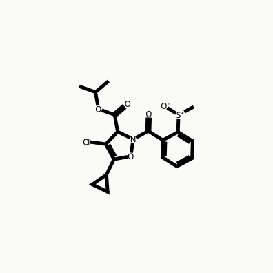 CC(C)OC(=O)C1C(Cl)=C(C2CC2)ON1C(=O)c1ccccc1[S+](C)[O-]